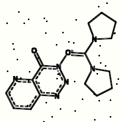 O=c1c2ncccc2nnn1[O+]=C(N1CCCC1)N1CCCC1